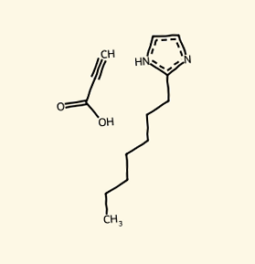 C#CC(=O)O.CCCCCCCc1ncc[nH]1